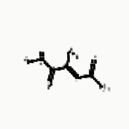 CCNC(=O)/C(C)=C/C(N)=O